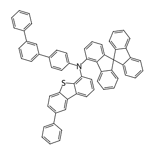 c1ccc(-c2cccc(-c3ccc(N(c4cccc5c4-c4ccccc4C54c5ccccc5-c5ccccc54)c4cccc5c4sc4ccc(-c6ccccc6)cc45)cc3)c2)cc1